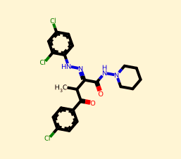 CC(C(=O)c1ccc(Cl)cc1)/C(=N\Nc1ccc(Cl)cc1Cl)C(=O)NN1CCCCC1